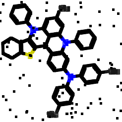 CC(C)(C)c1ccc(N(c2ccc(C(C)(C)C)cc2)c2ccc3c(c2)N(c2ccccc2)c2cc(C(C)(C)C)cc4c2B3c2sc3c(c2N4c2ccccc2)CCCC3)cc1